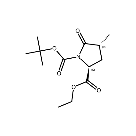 CCOC(=O)[C@@H]1C[C@@H](C)C(=O)N1C(=O)OC(C)(C)C